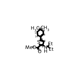 CCC(CC)Nc1cc(C2=CCC(C)(C)CC2)sc1C(=O)OC